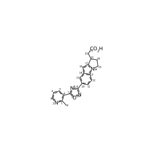 Cc1ncccc1-c1nc(-c2ccc3c(c2)cc2n3CCC2CC(=O)O)no1